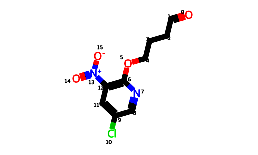 O=CCCCOc1ncc(Cl)cc1[N+](=O)[O-]